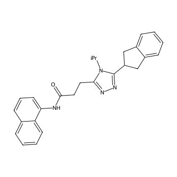 CC(C)n1c(CCC(=O)Nc2cccc3ccccc23)nnc1C1Cc2ccccc2C1